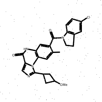 COC1CC(c2ncc3c(=O)[nH]c4cc(C(=O)N5CCc6cc(Cl)ccc65)c(C)cc4n23)C1